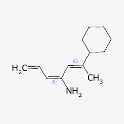 C=C/C=C(N)\C=C(/C)C1CCCCC1